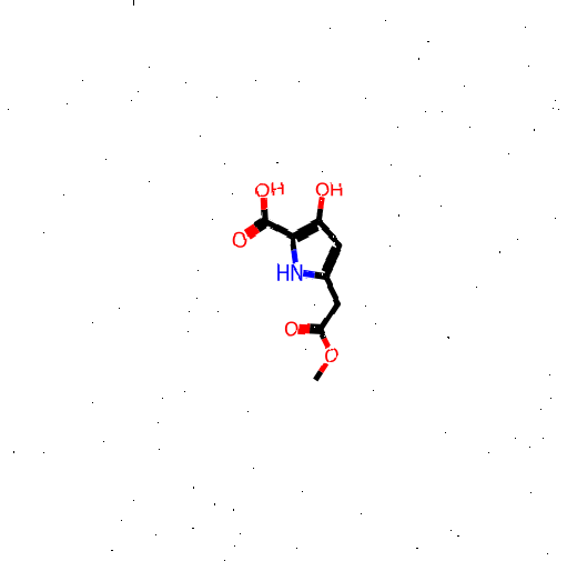 COC(=O)Cc1cc(O)c(C(=O)O)[nH]1